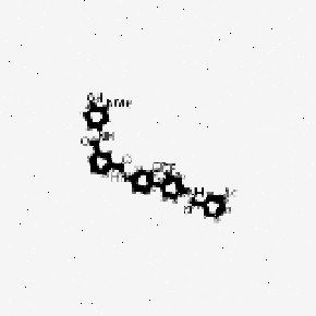 CNc1cc(NC(=O)c2cccc(C(=O)Nc3ccc(-c4ccc(NC(=O)c5cccc(C(C)=O)c5)cc4C(F)(F)F)c(C(F)(F)F)c3)c2)ccc1O